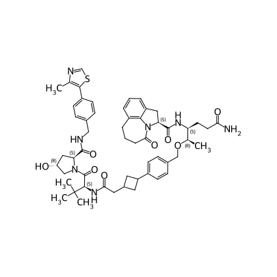 Cc1ncsc1-c1ccc(CNC(=O)[C@@H]2C[C@@H](O)CN2C(=O)[C@@H](NC(=O)CC2CC(c3ccc(CO[C@H](C)[C@H](CCC(N)=O)NC(=O)[C@@H]4Cc5cccc6c5N4C(=O)CCC6)cc3)C2)C(C)(C)C)cc1